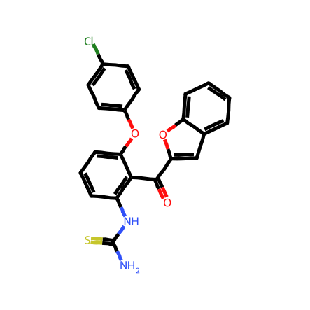 NC(=S)Nc1cccc(Oc2ccc(Cl)cc2)c1C(=O)c1cc2ccccc2o1